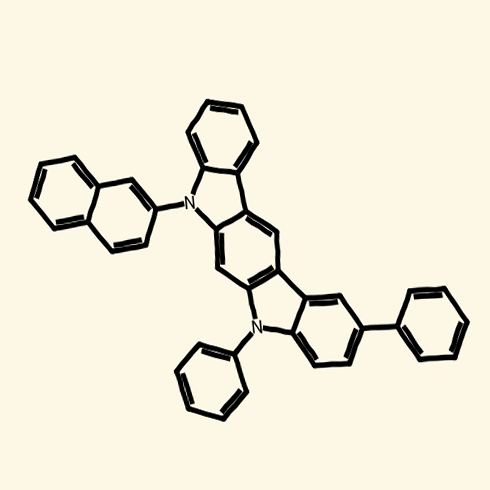 c1ccc(-c2ccc3c(c2)c2cc4c5ccccc5n(-c5ccc6ccccc6c5)c4cc2n3-c2ccccc2)cc1